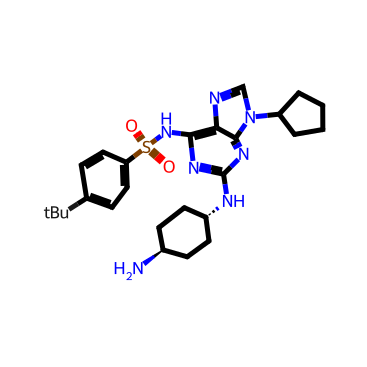 CC(C)(C)c1ccc(S(=O)(=O)Nc2nc(N[C@H]3CC[C@H](N)CC3)nc3c2ncn3C2CCCC2)cc1